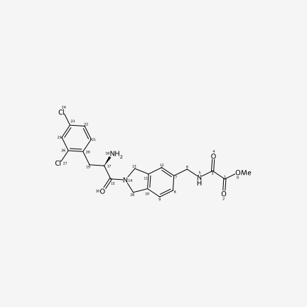 COC(=O)C(=O)NCc1ccc2c(c1)CN(C(=O)[C@H](N)Cc1ccc(Cl)cc1Cl)C2